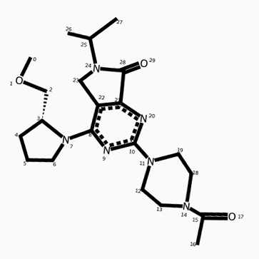 COC[C@H]1CCCN1c1nc(N2CCN(C(C)=O)CC2)nc2c1CN(C(C)C)C2=O